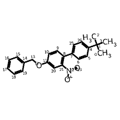 CC(C)(C)c1ccc(-c2ccc(OCc3ccccc3)cc2[N+](=O)[O-])cc1